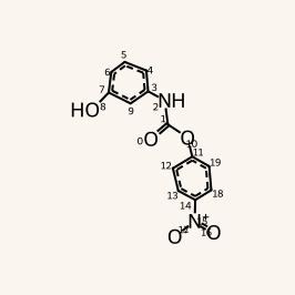 O=C(Nc1cccc(O)c1)Oc1ccc([N+](=O)[O-])cc1